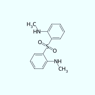 CNc1ccccc1S(=O)(=O)c1ccccc1NC